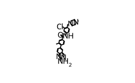 Cc1cc(C(=O)Nc2ccc(CN3CCN(C)CC3)c(Cl)c2)ccc1-c1ccc2nc(N)ncc2c1